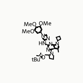 COc1cc(-n2cnc(Nc3nc(N4CCCC4CO[Si](C)(C)C(C)(C)C)c4c(C)cn(C5CCC5)c4n3)c2)cc(OC)c1OC